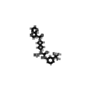 CN(C(=O)Nc1cccc(C(F)(F)F)c1)C1CC2(C1)CN(C(=O)c1cnn3ccsc13)C2